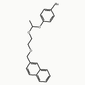 CCC(C)c1ccc(OC(C)OCCOCc2ccc3ccccc3c2)cc1